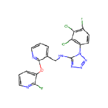 Fc1ccc(-n2nnnc2NCc2cccnc2Oc2cccnc2F)c(Cl)c1Cl